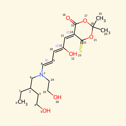 CCC(CCO)CN(/C=C/C=C(O)/C=C1/C(=O)OC(C)(C)OC1=S)CCO